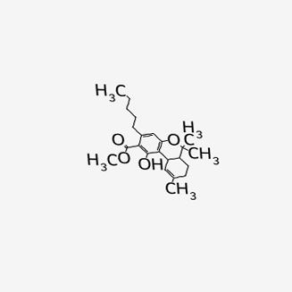 CCCCCc1cc2c(c(O)c1C(=O)OC)C1C=C(C)CCC1C(C)(C)O2